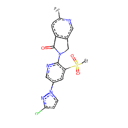 CCS(=O)(=O)c1cc(-n2ccc(Cl)n2)cnc1N1Cc2cnc(C(F)(F)F)cc2C1=O